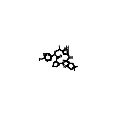 CC(C)c1cc(Nc2nc(N3CCC[C@H]3C(=O)Nc3ccc(F)nc3)nc3c2CC(C)(C)C3)[nH]n1